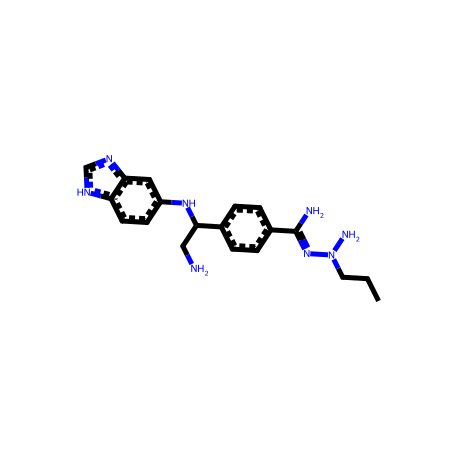 CCCN(N)/N=C(\N)c1ccc(C(CN)Nc2ccc3[nH]cnc3c2)cc1